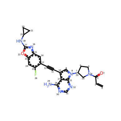 C=CC(=O)N1CC[C@H](n2cc(C#Cc3cc4nc(NC5CC5)oc4cc3F)c3c(N)ncnc32)C1